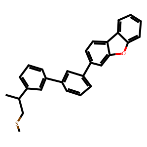 CSCC(C)c1cccc(-c2cccc(-c3ccc4c(c3)oc3ccccc34)c2)c1